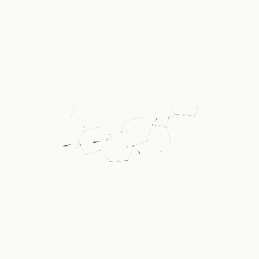 CC[C@@H]1C[C@@]2(C)C(=CC[C@@H]3[C@@H]2CC[C@]2(C)C(=C(F)CO)CC[C@@H]32)C[C@H]1O